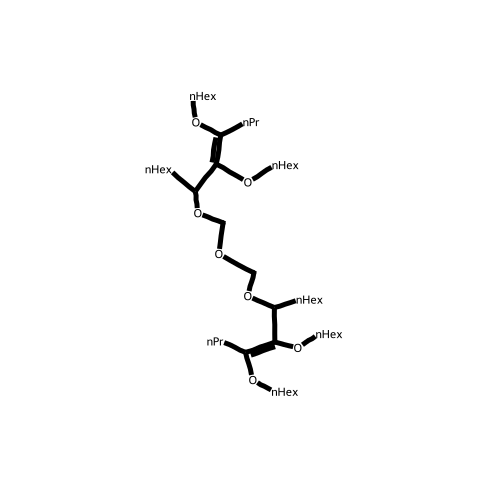 CCCCCCOC(CCC)=C(OCCCCCC)C(CCCCCC)OCOCOC(CCCCCC)C(OCCCCCC)=C(CCC)OCCCCCC